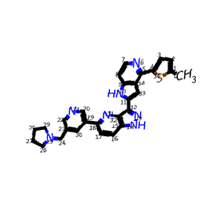 Cc1ccc(-c2nccc3[nH]c(-c4n[nH]c5ccc(-c6cncc(CN7CCCC7)c6)nc45)cc23)s1